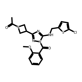 COc1ccccc1C(=O)n1nc(C2CN(C(C)=O)C2)nc1NCc1ccc(Cl)s1